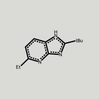 CCc1ccc2[nH]c(C(C)(C)C)nc2n1